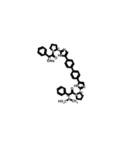 CO[C@@H](C(=O)N1CCC[C@H]1c1ncc(-c2ccc(-c3ccc(-c4cnc([C@@H]5CCCN5C(=O)[C@@H](c5ccccc5)N(C)C(=O)O)[nH]4)cc3)cc2)[nH]1)c1ccccc1